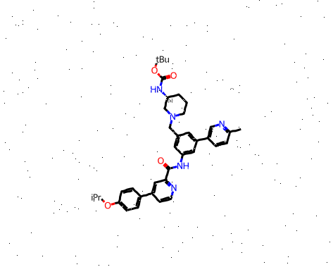 Cc1ccc(-c2cc(CN3CCC[C@H](NC(=O)OC(C)(C)C)C3)cc(NC(=O)c3cc(-c4ccc(OC(C)C)cc4)ccn3)c2)cn1